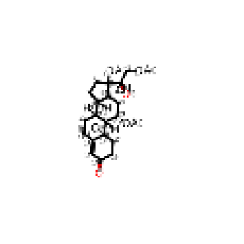 CC(=O)OCC(=O)[C@@]1(OC(C)=O)CC[C@H]2[C@@H]3CCC4=CC(=O)CC[C@]4(C)[C@H]3[C@@H](OC(C)=O)C[C@@]21C